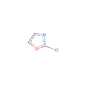 Clc1nc[c]o1